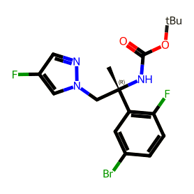 CC(C)(C)OC(=O)N[C@@](C)(Cn1cc(F)cn1)c1cc(Br)ccc1F